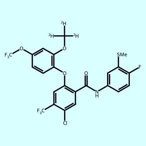 [2H]C([2H])([2H])Oc1cc(OC(F)(F)F)ccc1Oc1cc(C(F)(F)F)c(Cl)cc1C(=O)Nc1ccc(F)c(SC)c1